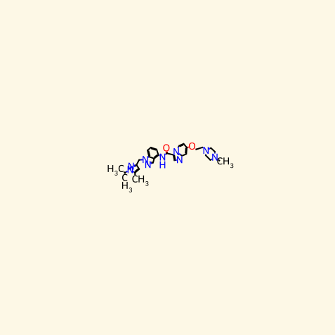 Cc1cc(Cn2ncc3c(NC(=O)c4cnc5cc(OCCN6CCN(C)CC6)ccn45)cccc32)nn1C(C)C